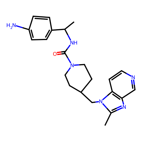 Cc1nc2cnccc2n1CC1CCN(C(=O)NC(C)c2ccc(N)cc2)CC1